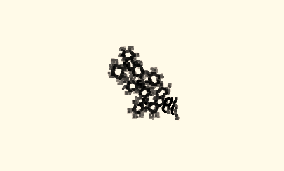 CC1(C)c2ccccc2-c2c1ccc1c3ccccc3n(-c3ccc([Si](c4ccccc4)(c4ccccc4)c4ccc5c6ccccc6n(-c6ccccc6)c5c4)cc3)c21